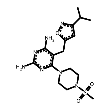 CC(C)c1cc(Cc2c(N)nc(N)nc2N2CCN(S(C)(=O)=O)CC2)on1